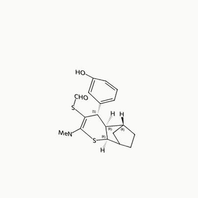 CNC1=C(SC=O)[C@H](c2cccc(O)c2)[C@H]2[C@@H]3CCC(C3)[C@H]2S1